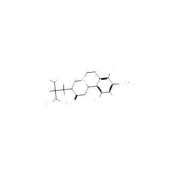 COc1c(O)c(O)c2c(c1O)CCN1CC(C(O)(O)C(O)(C(O)O)C(O)O)C(=O)CC21